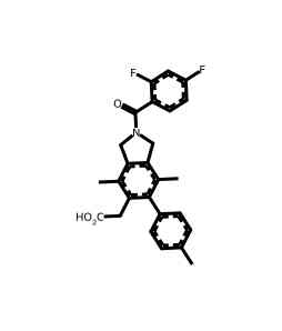 Cc1ccc(-c2c(C)c3c(c(C)c2CC(=O)O)CN(C(=O)c2ccc(F)cc2F)C3)cc1